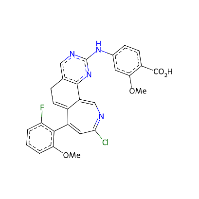 COc1cc(Nc2ncc3c(n2)C2=CN=C(Cl)C=C(c4c(F)cccc4OC)C2=CC3)ccc1C(=O)O